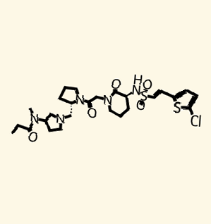 CCC(=O)N(C)C1CCN(C[C@@H]2CCCN2C(=O)CN2CCC[C@H](NS(=O)(=O)/C=C/c3ccc(Cl)s3)C2=O)C1